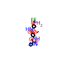 CCOc1cc(NC(=O)C(C(=O)NC)C2CCCC2)ccc1S(=O)(=O)Nc1cccc(OC(F)(F)P)c1